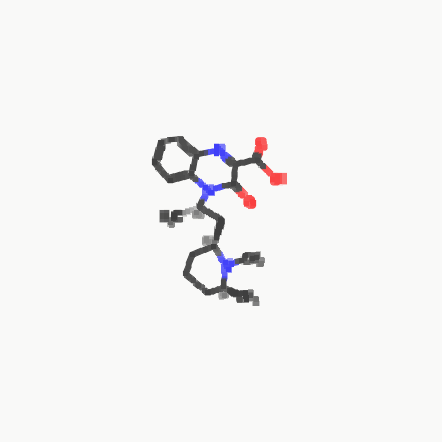 C[C@H]1CCC[C@@H](C[C@H](C)n2c(=O)c(C(=O)O)nc3ccccc32)N1C